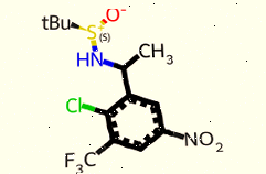 CC(N[S@+]([O-])C(C)(C)C)c1cc([N+](=O)[O-])cc(C(F)(F)F)c1Cl